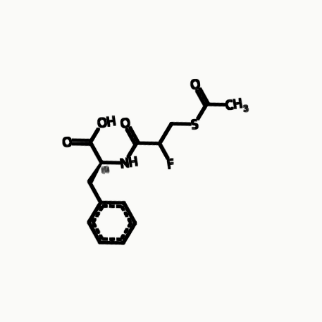 CC(=O)SCC(F)C(=O)N[C@@H](Cc1ccccc1)C(=O)O